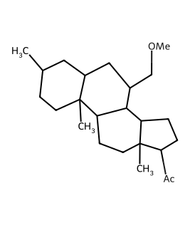 COCC1CC2CC(C)CCC2(C)C2CCC3(C)C(C(C)=O)CCC3C12